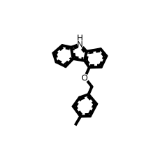 Cc1ccc(COc2cccc3[nH]c4ccccc4c23)cc1